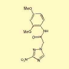 COc1ccc(NC(=O)Cn2cnc([N+](=O)[O-])n2)c(OC)c1